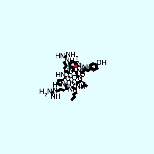 CCCC[C@H](NC(=O)[C@H](CC(C)C)N(C)C(=O)[C@H](Cc1ccccc1)NC(=O)[C@@H](N)Cc1ccc(O)cc1)C(=O)N[C@@H](CCCNC(=N)N)C(=O)N1CCC[C@H]1C(=O)N[C@@H](CCCNC(=N)N)C(=O)NCC(=O)O